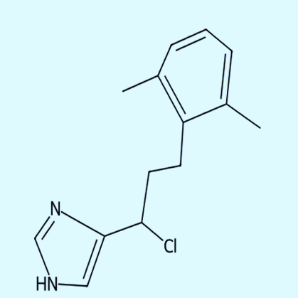 Cc1cccc(C)c1CCC(Cl)c1c[nH]cn1